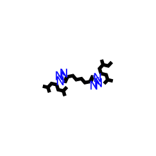 CCC(C)CC(CC(C)C)n1cc(CCCCc2cn(C(CC(C)C)CC(C)C)nn2)nn1